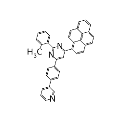 Cc1ccccc1-c1nc(-c2ccc(-c3cccnc3)cc2)cc(-c2ccc3ccc4cccc5ccc2c3c45)n1